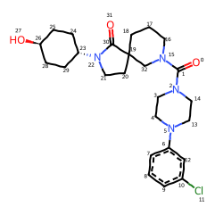 O=C(N1CCN(c2cccc(Cl)c2)CC1)N1CCCC2(CCN([C@H]3CC[C@H](O)CC3)C2=O)C1